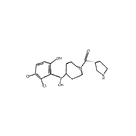 O=C([C@@H]1CCNC1)N1CCC(C(O)c2c(O)ccc(Cl)c2Cl)CC1